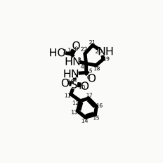 O=C(O)NC1(C(=O)NS(=O)(=O)Cc2ccccc2)CCNCC1